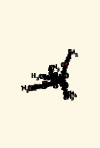 CCCCCCCOC(=O)CCCCC(=O)OCC(COC(=O)CCCCC(=O)OCCCCCCC)(COC(=O)CCCN(C)C)COC(=O)CC(CCCCC)CCCCC